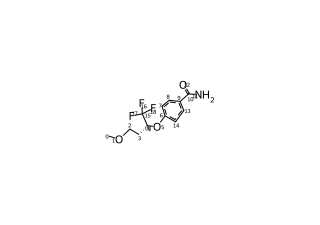 COCC[C@@H](Oc1ccc(C(N)=O)cc1)C(F)(F)F